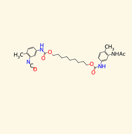 CC(=O)Nc1cc(NC(=O)OCCCCCCCCCOC(=O)Nc2ccc(C)c(N=C=O)c2)ccc1C